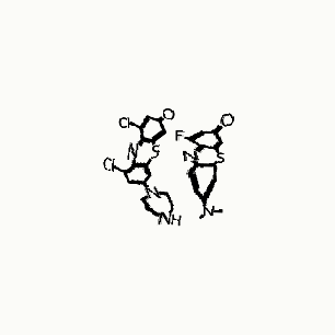 CN(C)c1ccc2nc3c(F)cc(=O)cc-3sc2c1.O=c1cc2sc3cc(N4CCNCC4)cc(Cl)c3nc-2c(Cl)c1